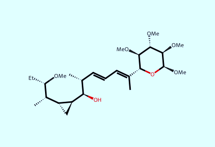 CC[C@H](OC)[C@@H](C)[C@H]1C[C@@H]1[C@H](O)[C@H](C)/C=C/C=C(\C)[C@H]1O[C@H](OC)[C@H](OC)[C@@H](OC)[C@@H]1OC